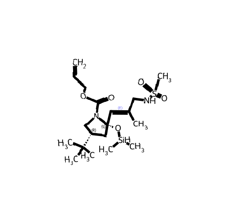 C=CCOC(=O)N1C[C@@H](C(C)(C)C)C[C@@]1(/C=C(\C)CNS(C)(=O)=O)O[SiH](C)C